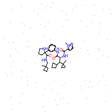 Cn1nccc1C(=O)N[C@H](C(=O)Nc1cccc(C2(C(=O)NCC3(C)CCC3)CCCN2)c1)C(C1CCC1)C1(C)CC1